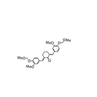 COCOc1ccc(/C=C2\CCC/C(=C\c3ccc(OCOC)c(OC)c3)C2=O)cc1OC